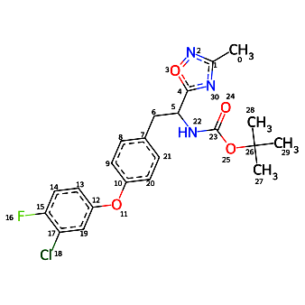 Cc1noc(C(Cc2ccc(Oc3ccc(F)c(Cl)c3)cc2)NC(=O)OC(C)(C)C)n1